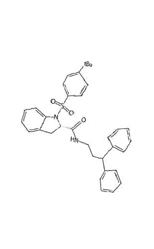 CC(C)(C)c1ccc(S(=O)(=O)N2c3ccccc3C[C@H]2C(=O)NCCC(c2ccccc2)c2ccccc2)cc1